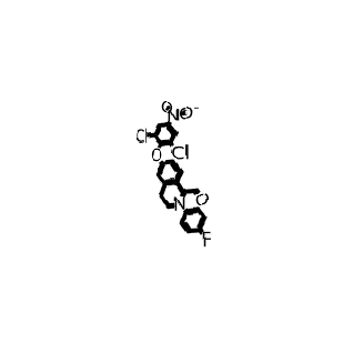 O=CC1c2ccc(Oc3c(Cl)cc([N+](=O)[O-])cc3Cl)cc2CCN1c1ccc(F)cc1